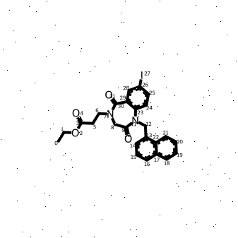 CCOC(=O)CCN1CC(=O)N(Cc2cccc3ccccc23)c2ccc(I)cc2C1=O